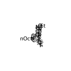 CCCCCCCCN(C)C(=O)Cn1cc(Cc2cnc(OCC)nc2)c(=O)nc1SCc1ccc(F)cc1